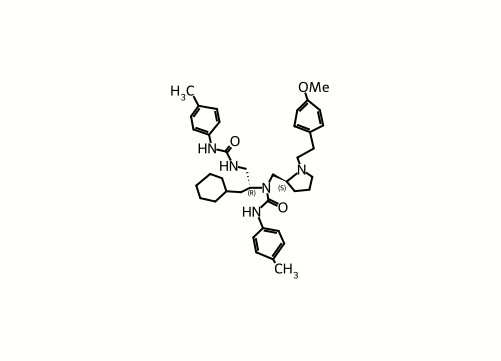 COc1ccc(CCN2CCC[C@H]2CN(C(=O)Nc2ccc(C)cc2)[C@@H](CNC(=O)Nc2ccc(C)cc2)CC2CCCCC2)cc1